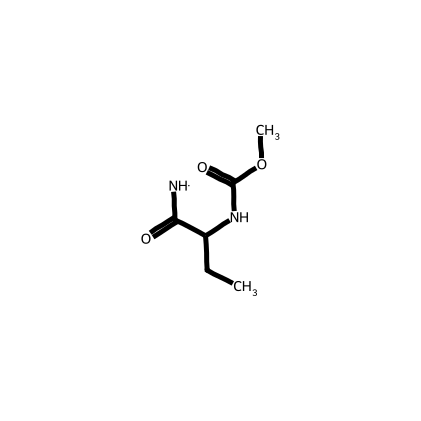 CCC(NC(=O)OC)C([NH])=O